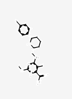 COc1nc(NC[C@H]2CCC[C@@H](c3ccc(C)cc3)O2)c(C)c(C(=O)O)n1